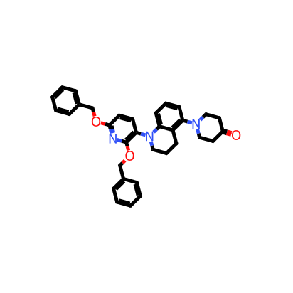 O=C1CCN(c2cccc3c2CCCN3c2ccc(OCc3ccccc3)nc2OCc2ccccc2)CC1